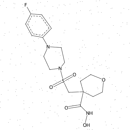 O=C(NO)C1(CS(=O)(=O)N2CCN(c3ccc(F)cc3)CC2)CCOCC1